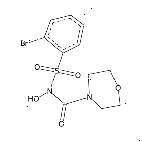 O=C(N1CCOCC1)N(O)S(=O)(=O)c1ccccc1Br